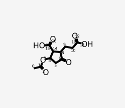 CC(=O)OC1CC(=O)C(CCC(=O)O)C1C(=O)O